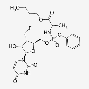 CCCCOC(=O)C(C)N[P@@](=O)(OC[C@H]1O[C@@H](n2ccc(=O)[nH]c2=O)[C@H](O)[C@@H]1CF)Oc1ccccc1